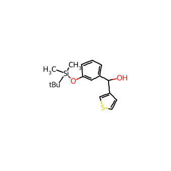 CC(C)(C)[Si](C)(C)Oc1cccc(C(O)c2ccsc2)c1